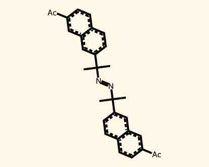 CC(=O)c1ccc2ccc(C(C)(C)N=NC(C)(C)c3ccc4ccc(C(C)=O)cc4c3)cc2c1